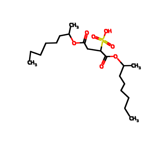 CCCCCCC(C)OC(=O)CC(C(=O)OC(C)CCCCCC)S(=O)(=O)O